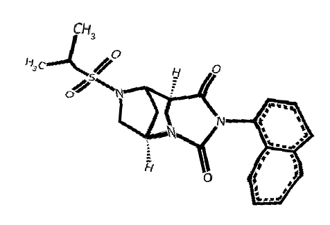 CC(C)S(=O)(=O)N1C[C@H]2CC1[C@H]1C(=O)N(c3cccc4ccccc34)C(=O)N21